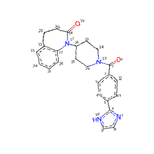 O=C(c1ccc(-c2ncc[nH]2)cc1)N1CCC(N2C(=O)CCc3ccccc32)CC1